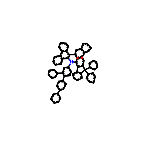 c1ccc(-c2ccc(-c3ccc(N(c4cccc5c4-c4ccccc4C5(c4ccccc4)c4ccccc4)c4c(-c5ccc6ccccc6c5)c5ccccc5c5ccccc45)cc3-c3ccccc3)cc2)cc1